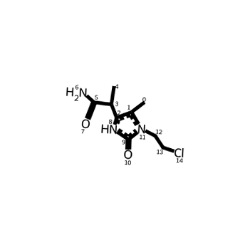 Cc1c(C(C)C(N)=O)[nH]c(=O)n1CCCl